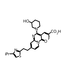 CC(C)c1csc(CCc2ccn3c(=O)c(C=C(F)C(=O)O)c(N4CCCC(O)C4)nc3c2)n1